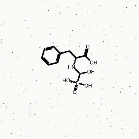 O=C(O)C(Cc1ccccc1)NC(O)P(=O)(O)O